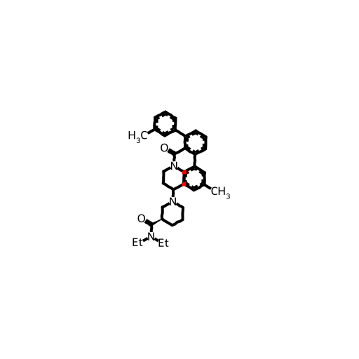 CCN(CC)C(=O)[C@@H]1CCCN(C2CCN(C(=O)c3c(-c4cccc(C)c4)cccc3-c3cccc(C)c3)CC2)C1